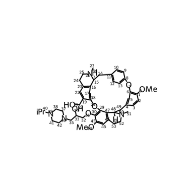 COc1ccc2cc1Oc1ccc(cc1)C[C@H]1c3cc(c(CO)cc3CCN1C)Oc1c(OCC(O)CN3CCN(C(C)C)CC3)c(OC)cc3c1[C@H](C2)N(C)CC3